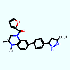 CC(=O)N1c2ccc(-c3ccc(C4CC(C(=O)O)NN4)cc3)cc2N(C(=O)c2ccco2)C[C@@H]1C